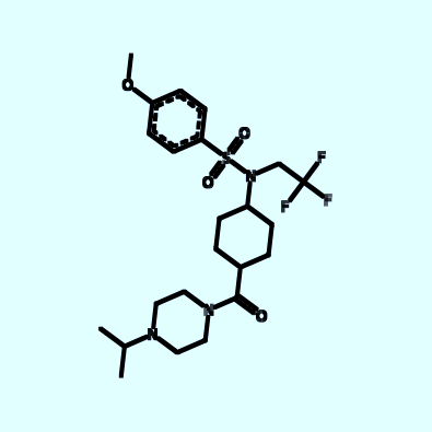 COc1ccc(S(=O)(=O)N(CC(F)(F)F)C2CCC(C(=O)N3CCN(C(C)C)CC3)CC2)cc1